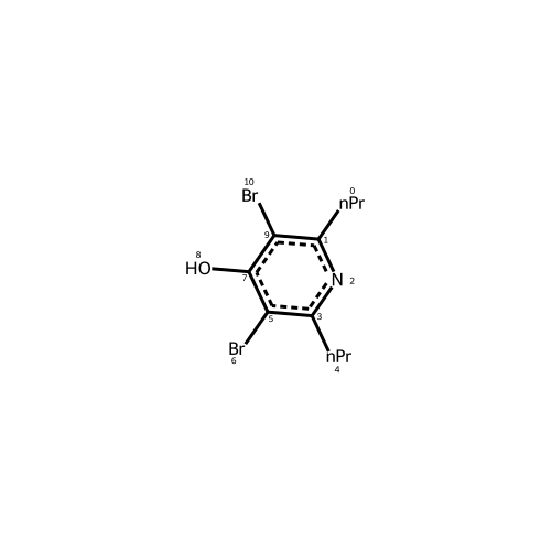 CCCc1nc(CCC)c(Br)c(O)c1Br